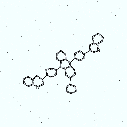 c1ccc(-c2ccc3c(-c4ccc(-c5cnc6ccccc6c5)cc4)c4ccccc4c(-c4ccc(-c5cnc6ccccc6c5)cc4)c3c2)cc1